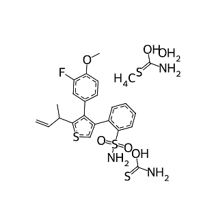 C.C=CC(C)c1scc(-c2ccccc2S(N)(=O)=O)c1-c1ccc(OC)c(F)c1.NC(O)=S.NC(O)=S.O